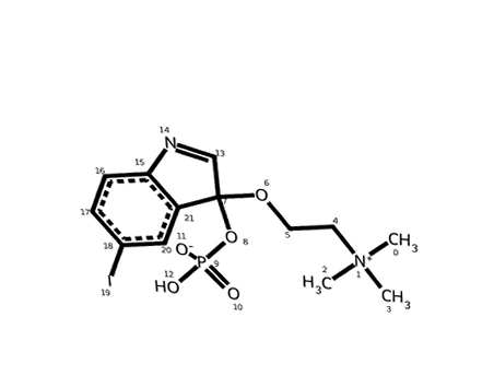 C[N+](C)(C)CCOC1(OP(=O)([O-])O)C=Nc2ccc(I)cc21